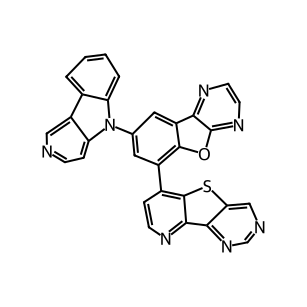 c1ccc2c(c1)c1cnccc1n2-c1cc(-c2ccnc3c2sc2cncnc23)c2oc3nccnc3c2c1